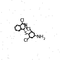 Nc1cc(Cl)c(Sc2nnc(Cl)c3ccccc23)c(Cl)c1